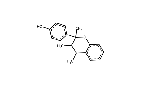 CC1c2ccccc2OC(C)(c2ccc(O)cc2)C1C